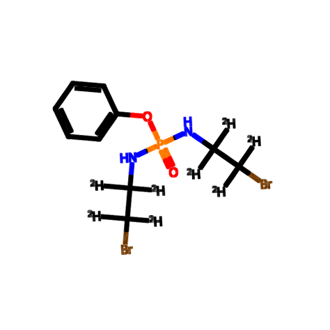 [2H]C([2H])(Br)C([2H])([2H])NP(=O)(NC([2H])([2H])C([2H])([2H])Br)Oc1ccccc1